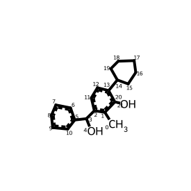 Cc1c(C(O)c2ccccc2)ccc(C2CCCCC2)c1O